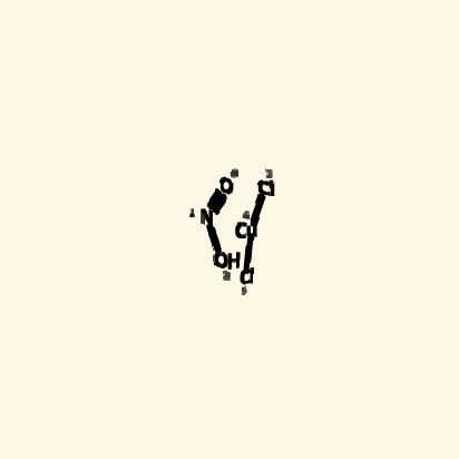 O=NO.[Cl][Cu][Cl]